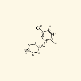 Cc1nc(C)c(OC2CCN(C)CC2)nc1Cl